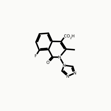 Cc1c(C(=O)O)c2cccc(F)c2c(=O)n1-n1cnnc1